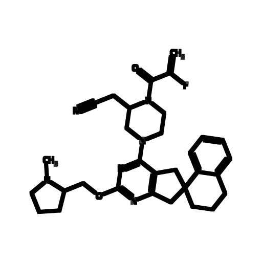 C=C(F)C(=O)N1CCN(c2nc(OCC3CCCN3C)nc3c2CC2(CCCc4ccccc42)C3)CC1CC#N